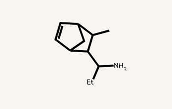 CCC(N)C1C2C=CC(C2)C1C